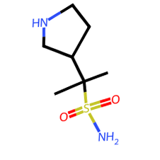 CC(C)(C1CCNC1)S(N)(=O)=O